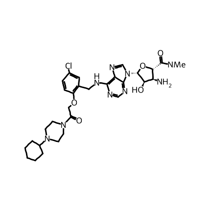 CNC(=O)[C@H]1O[C@@H](n2cnc3c(NCc4cc(Cl)ccc4OCC(=O)N4CCN(C5CCCCC5)CC4)ncnc32)[C@H](O)[C@@H]1N